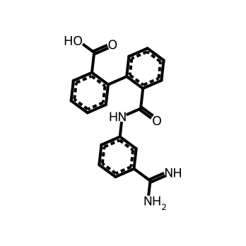 N=C(N)c1cccc(NC(=O)c2ccccc2-c2ccccc2C(=O)O)c1